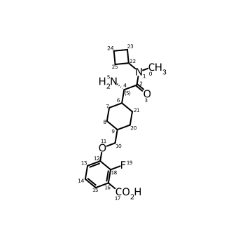 CN(C(=O)[C@@H](N)C1CCC(COc2cccc(C(=O)O)c2F)CC1)C1CCC1